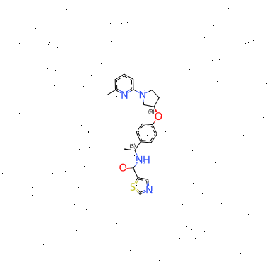 Cc1cccc(N2CC[C@@H](Oc3ccc([C@H](C)NC(=O)c4cncs4)cc3)C2)n1